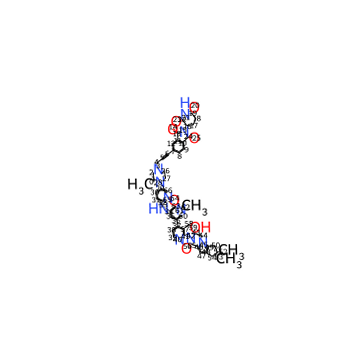 C[C@H]1CN(CC#Cc2ccc3c(c2)C(=O)N(C2CCC(=O)NC2=O)C3=O)CCN1c1ccc(Nc2cc(-c3ccnc(N4CCn5c(cc6c5CC(C)(C)C6)C4=O)c3CO)cn(C)c2=O)nc1